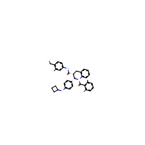 Cc1cccc(F)c1C(=O)N1c2ccccc2C[C@H](C(=O)Nc2ccc(CO)c(C(F)(F)F)c2)[C@@H]1c1ccc(NC2CCC2)cc1